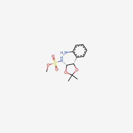 COS(=O)(=O)N[C@H]1OC(C)(C)O[C@H]1c1ccccc1N